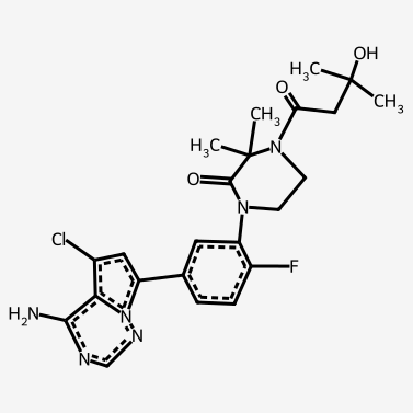 CC(C)(O)CC(=O)N1CCN(c2cc(-c3cc(Cl)c4c(N)ncnn34)ccc2F)C(=O)C1(C)C